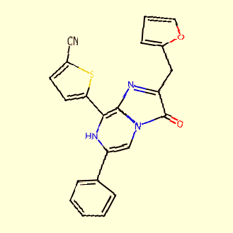 N#Cc1ccc(-c2[nH]c(-c3ccccc3)cn3c(=O)c(Cc4ccco4)nc2-3)s1